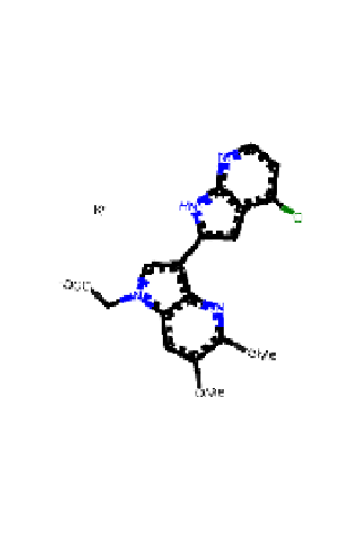 COc1cc2c(nc1OC)c(-c1cc3c(Cl)ccnc3[nH]1)cn2CC(=O)[O-].[K+]